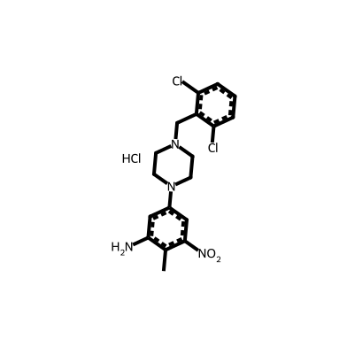 Cc1c(N)cc(N2CCN(Cc3c(Cl)cccc3Cl)CC2)cc1[N+](=O)[O-].Cl